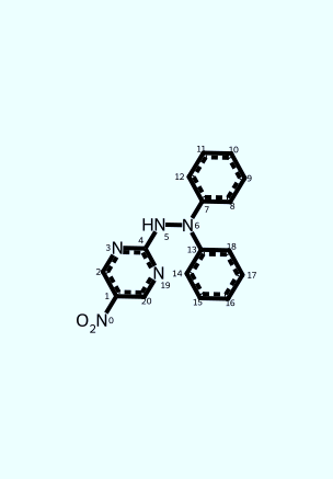 O=[N+]([O-])c1cnc(NN(c2ccccc2)c2ccccc2)nc1